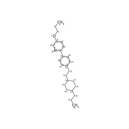 CCCOc1ccc(-c2ccc(CCC3CCC(CCC)CC3)cc2)nc1